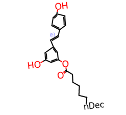 CCCCCCCCCCCCCCCC(=O)Oc1cc(O)cc(/C=C/c2ccc(O)cc2)c1